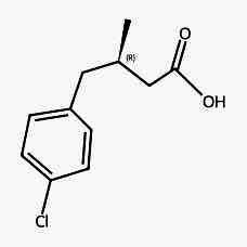 C[C@@H](CC(=O)O)Cc1ccc(Cl)cc1